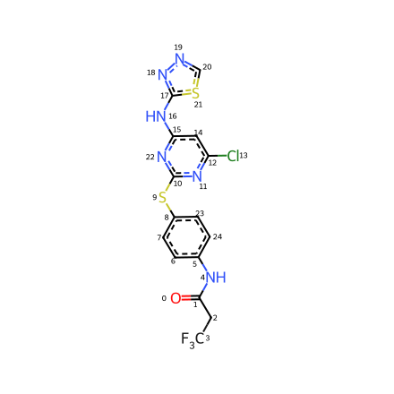 O=C(CC(F)(F)F)Nc1ccc(Sc2nc(Cl)cc(Nc3nncs3)n2)cc1